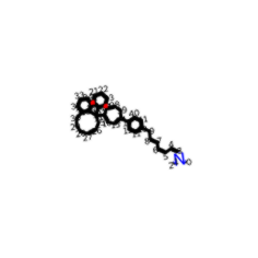 CN(C)\C=C/C=C\C=C\Cc1ccc(C2=CC=C(C3(c4ccccc4)C/C=C\CCCc4ccccc43)C=CC2)cc1